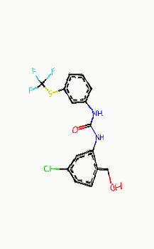 O=C(Nc1cccc(SC(F)(F)F)c1)Nc1cc(Cl)ccc1CO